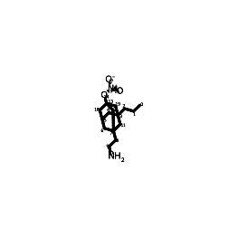 CCCC12CC3CC(CCN)(C1)CC(O[N+](=O)[O-])(C3)C2